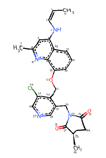 C/C=C\Nc1cc(C)nc2c(OCc3c(Cl)cncc3CN3C(=O)C[C@@H](C)C3=O)cccc12